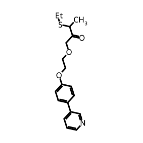 CCSC(C)C(=O)COCCOc1ccc(-c2cccnc2)cc1